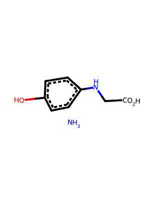 N.O=C(O)CNc1ccc(O)cc1